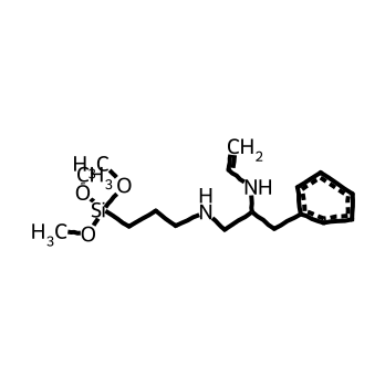 C=CNC(CNCCC[Si](OC)(OC)OC)Cc1ccccc1